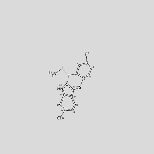 NCCc1cc(F)ccc1Sc1c[nH]c2cc(Cl)ccc12